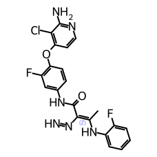 C/C(Nc1ccccc1F)=C(/N=N)C(=O)Nc1ccc(Oc2ccnc(N)c2Cl)c(F)c1